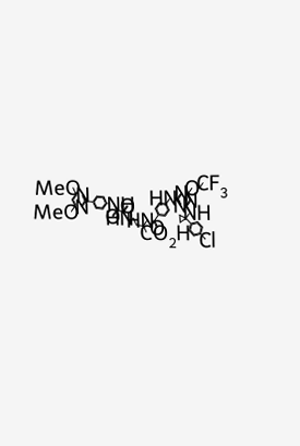 COc1cc(OC)nc(-c2ccc(NC(=O)C(=O)NCCC(NC(=O)c3ccc(Nc4nc(NC5(c6ccc(Cl)cc6)CC5)nc(OCC(F)(F)F)n4)cc3)C(=O)O)cc2)n1